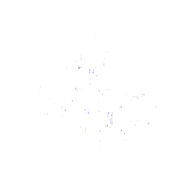 C[C@@H]1COCCN1c1cc(N=S(C)(C)=O)nc(-n2c(C(F)F)nc3ccccc32)n1